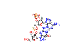 Nc1nc2c(nnn2[C@@H]2O[C@H](CO)[C@H](F)[C@H]2OP(O)(=S)OC[C@H]2O[C@@H](n3nnc4c(N)ncnc43)[C@@H](F)[C@@H]2O[PH](=O)O)c(=O)[nH]1